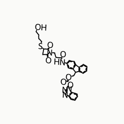 O=C(CCN1C(=O)CC(SCCCCO)C1=O)Nc1ccc2c(c1)C(COC(=O)On1nnc3ccccc31)c1ccccc1-2